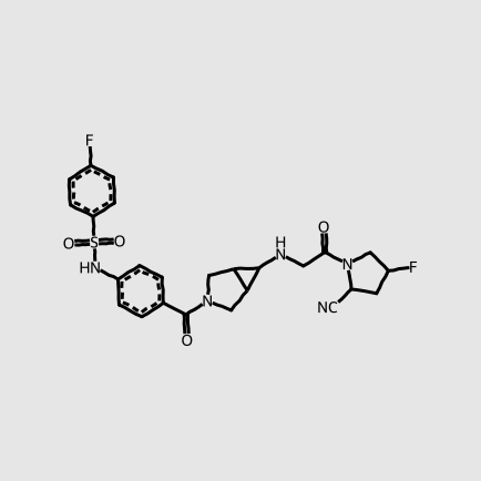 N#CC1CC(F)CN1C(=O)CNC1C2CN(C(=O)c3ccc(NS(=O)(=O)c4ccc(F)cc4)cc3)CC21